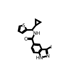 O=C(N[C@H](c1cccs1)C1CC1)c1ccc2[nH]nc(I)c2c1